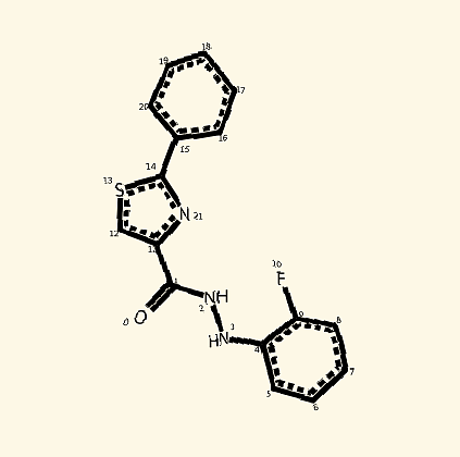 O=C(NNc1ccccc1F)c1csc(-c2ccccc2)n1